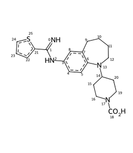 N=C(Nc1ccc2c(c1)CCCCN2C1CCN(C(=O)O)CC1)c1cccs1